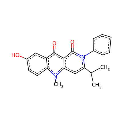 CC(C)c1cc2c(c(=O)c3cc(O)ccc3n2C)c(=O)n1-c1ccccc1